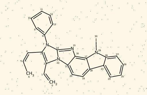 C=Cc1c(/C=C\C)n(-c2ccccc2)c2nc3c4c(ccc3n12)c1ccccc1n4I